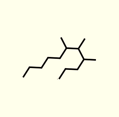 [CH2]CCC(C)C(C)C(C)CCCCC